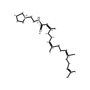 CC(C)=CCCC(C)=CCCC(C)=CCCC(C)=CC(=O)NCCN1CCCC1